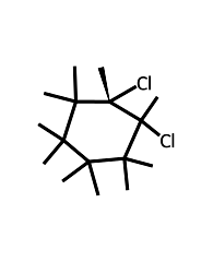 CC1(C)C(C)(C)C(C)(C)[C@](C)(Cl)C(C)(Cl)C1(C)C